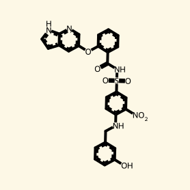 O=C(NS(=O)(=O)c1ccc(NCc2cccc(O)c2)c([N+](=O)[O-])c1)c1ccccc1Oc1cnc2[nH]ccc2c1